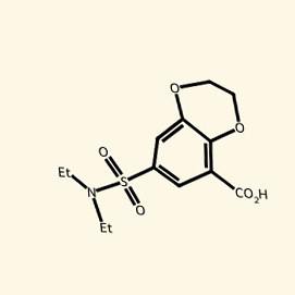 CCN(CC)S(=O)(=O)c1cc2c(c(C(=O)O)c1)OCCO2